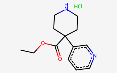 CCOC(=O)C1(c2cccnc2)CCNCC1.Cl